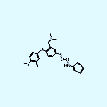 CSc1ccc(Oc2ccc(SOONc3ccccc3)cc2CN(C)C)cc1C